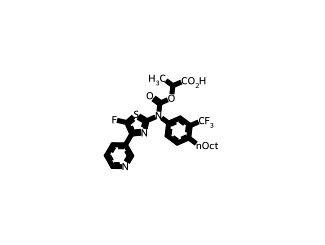 CCCCCCCCc1ccc(N(C(=O)OC(C)C(=O)O)c2nc(-c3cccnc3)c(F)s2)cc1C(F)(F)F